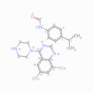 CC(C)c1ccc(NC=O)cc1.Clc1cc(Cl)c2ncnc(N3CCNCC3)c2c1